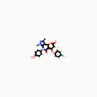 Cc1nn(C)c2c1c1oc(=O)c(Sc3cccc(F)c3)c(O)c1c(=O)n2-c1ccc(O)cc1